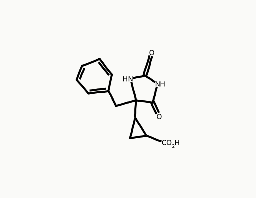 O=C1NC(=O)C(Cc2ccccc2)(C2CC2C(=O)O)N1